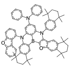 CC1(C)CCC(C)(C)c2cc(N3c4cc(N(c5ccccc5)c5ccccc5)cc5c4B(c4cc6c(cc4N5c4cccc5oc7ccccc7c45)C(C)(C)CCC6(C)C)c4oc5cc6c(cc5c43)C(C)(C)CCC6(C)C)ccc21